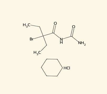 C1CCCCC1.CCC(Br)(CC)C(=O)NC(N)=O.Cl